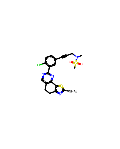 CC(=O)Nc1nc2c(s1)-c1nc(-c3cc(C#CCN(C)S(C)(=O)=O)ccc3Cl)ncc1CC2